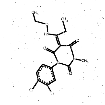 CCONC(CC)=C1C(=O)N(C)C(=O)N(c2ccc(Cl)c(Cl)c2)C1=O